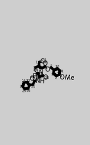 COc1ccc(COC(=O)C2=C(CCl)CS[C@@H]3[C@H](NC(=O)Cc4ccccc4)C(=O)N23)cc1